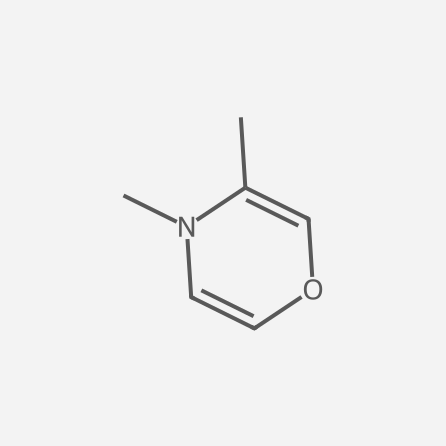 CC1=COC=CN1C